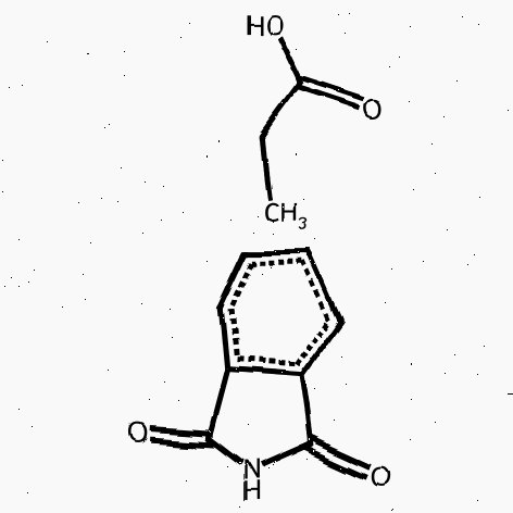 CCC(=O)O.O=C1NC(=O)c2ccccc21